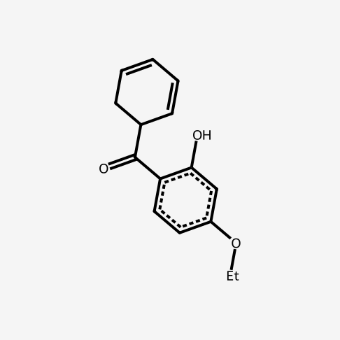 CCOc1ccc(C(=O)C2C=CC=CC2)c(O)c1